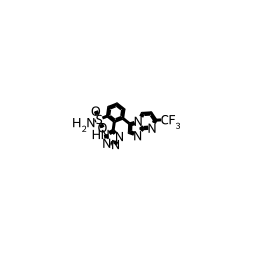 NS(=O)(=O)c1cccc(-c2cnc3nc(C(F)(F)F)ccn23)c1-c1nnn[nH]1